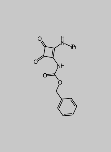 CC(C)Nc1c(NC(=O)OCc2ccccc2)c(=O)c1=O